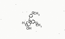 COc1ccc(Cn2c(C)c(CC(=O)O)c3cc(OC)ccc32)cc1